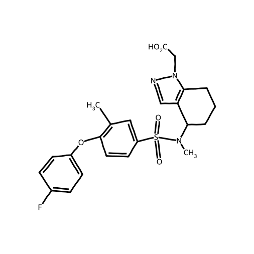 Cc1cc(S(=O)(=O)N(C)C2CCCc3c2cnn3CC(=O)O)ccc1Oc1ccc(F)cc1